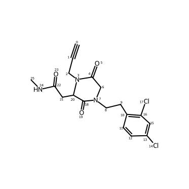 C#CCN1C(=O)CN(CCc2ccc(Cl)cc2Cl)C(=O)C1CC(=O)NC